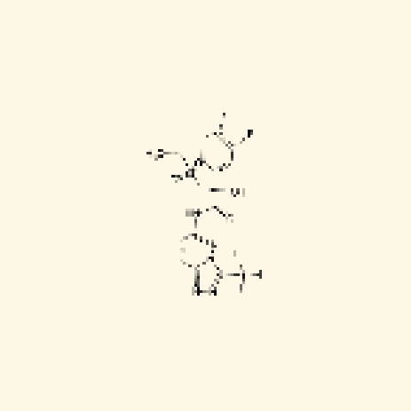 CCS(=O)(=O)CC(O)(C(=O)Nc1ccc2nnc(C(F)(F)F)n2n1)c1ccc(F)c(F)c1